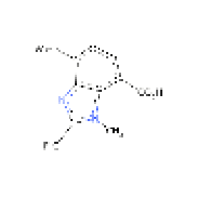 COc1ccc(C(=O)O)c2c1nc(C(F)(F)F)n2C